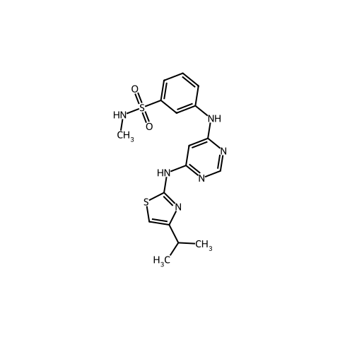 CNS(=O)(=O)c1cccc(Nc2cc(Nc3nc(C(C)C)cs3)ncn2)c1